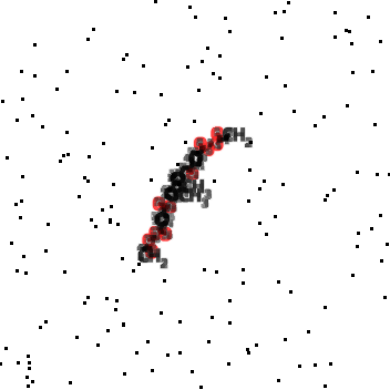 C=CC(=O)OCOC(=O)c1ccc(C(=O)Cc2ccc3c(c2)C(C)(C)c2cc(OC(=O)c4ccc(C(=O)OCOC(=O)C=C)cc4)ccc2-3)cc1